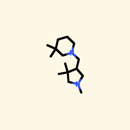 CN1CC(CN2CCCC(C)(C)C2)C(C)(C)C1